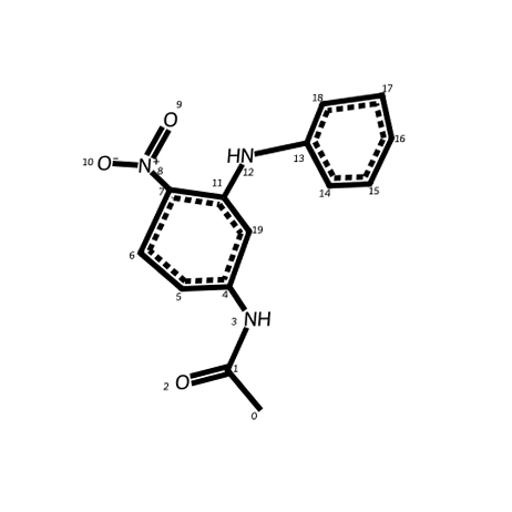 CC(=O)Nc1ccc([N+](=O)[O-])c(Nc2cc[c]cc2)c1